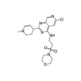 CN1C=CC(c2nc(NCCS(=O)(=O)N3CCOCC3)c3cc(Cl)ncc3n2)CC1